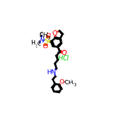 COc1ccccc1CCNCCCCC(=O)c1cc2c(c(S(=O)(=O)N(C)C)c1)OCC2.Cl